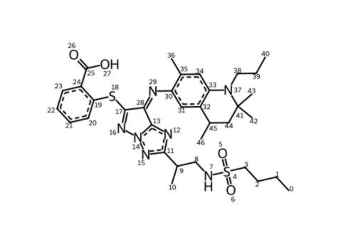 CCCCS(=O)(=O)NCC(C)c1nc2n(n1)N=C(Sc1ccccc1C(=O)O)/C2=N/c1cc2c(cc1C)N(CCC)C(C)(C)CC2C